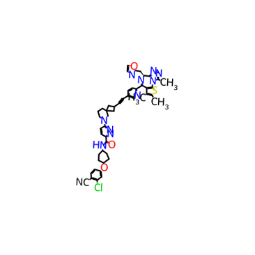 Cc1sc2c(c1C)C(c1ccc(C#CC3CC4(CCCN(c5ccc(C(=O)N[C@H]6CC[C@H](Oc7ccc(C#N)c(Cl)c7)CC6)nn5)C4)C3)cn1)=N[C@@H](Cc1ncco1)c1nnc(C)n1-2